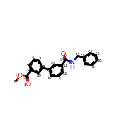 COC(=O)c1cccc(-c2cccc(C(=O)NCc3ccccc3)c2)c1